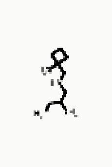 CCC(C)CNCC1(N)CCC1